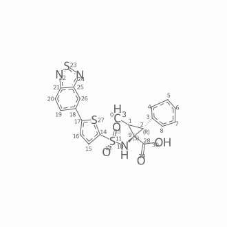 CC1[C@H](c2ccccc2)[C@]1(NS(=O)(=O)c1ccc(-c2ccc3nsnc3c2)s1)C(=O)O